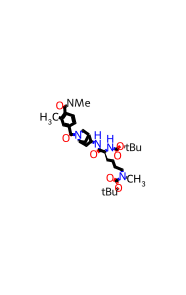 CNC(=O)c1ccc(C(=O)N2CC3CC2CC3NC(=O)[C@H](CCCCN(C)C(=O)OC(C)(C)C)NC(=O)OC(C)(C)C)cc1C